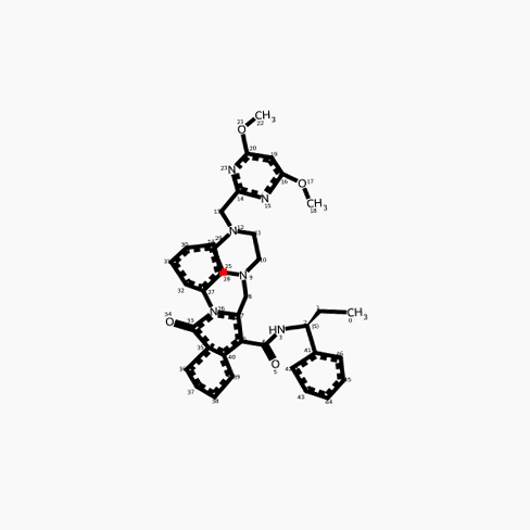 CC[C@H](NC(=O)c1c(CN2CCN(Cc3nc(OC)cc(OC)n3)CC2)n(-c2ccccc2)c(=O)c2ccccc12)c1ccccc1